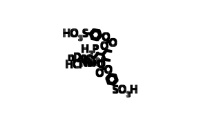 CCCCCCCCCCCC(P)C(C(C)OC(=O)Oc1ccc(S(=O)(=O)O)cc1)C(C)OC(=O)Oc1ccc(S(=O)(=O)O)cc1.Cl.[NaH].[NaH]